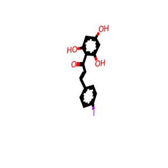 O=C(/C=C/c1ccc(I)cc1)c1c(O)cc(O)cc1O